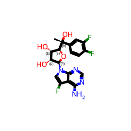 C[C@@](O)(c1ccc(F)c(F)c1)[C@H]1O[C@@H](n2cc(F)c3c(N)ncnc32)[C@H](O)[C@@H]1O